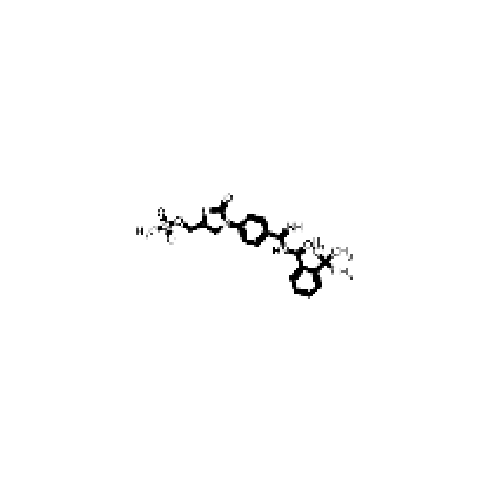 CC(C)(C)c1ccccc1C(=O)NC(=N)c1ccc(N2CC(COS(C)(=O)=O)OC2=O)cc1